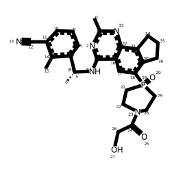 Cc1nc(N[C@H](C)c2cccc(C#N)c2C)c2cc(P3(=O)CCN(C(=O)CO)CC3)c3c(c2n1)CCC3